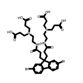 O=C(O)CCN(CCNC(=O)CCC1(CCC(=O)NCCN(CCC(=O)O)CCC(=O)O)c2cc(Br)ccc2-c2ccc(Br)cc21)CCC(=O)O